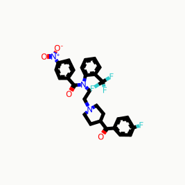 O=C(c1ccc(F)cc1)C1CCN(CCN(C(=O)c2ccc([N+](=O)[O-])cc2)c2ccccc2C(F)(F)F)CC1